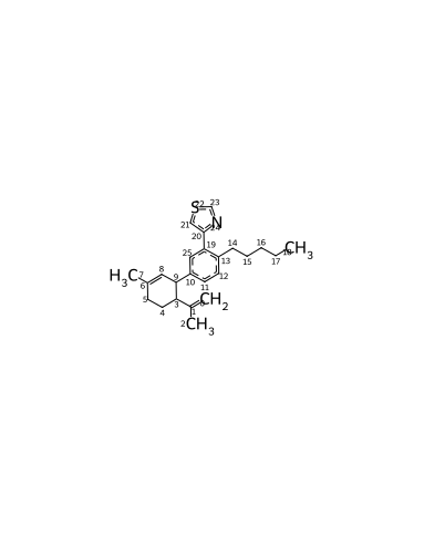 C=C(C)C1CCC(C)=CC1c1ccc(CCCCC)c(-c2cscn2)c1